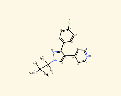 [2H]C([2H])(O[13CH3])C([2H])([2H])n1cc(-c2ccncc2)c(-c2ccc(F)cc2)n1